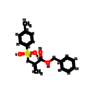 C=C(CS(=O)(=O)c1ccc(C)cc1)C(=O)OCc1ccccc1